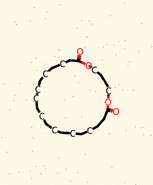 O=C1CCCCCCCCCCCCCCCCCC(=O)OCCCCO1